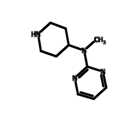 CN(c1ncccn1)C1CCNCC1